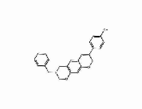 Oc1ccc(C2=Cc3cc4c(cc3OC2)OCN(Cc2ccccc2)C4)cc1